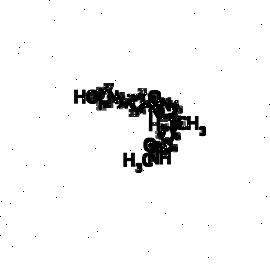 CNC(=O)n1ccc2cc(N(C)c3ccnc(NC(=O)c4ccc(CCN5CCC(O)CC5)cc4)c3)ccc21